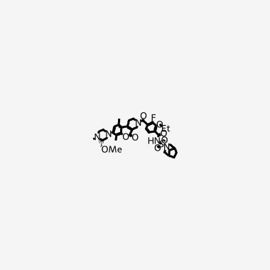 CCOc1c(C(=O)NS(=O)(=O)N2CC3CCC(C3)C2)ccc(C(=O)N2CCc3c(c(=O)oc4c(C)c(N5CCN(C)[C@@H](COC)C5)cc(C)c34)C2)c1F